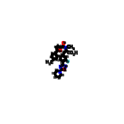 Cc1ccc(-c2ccc(C(=O)N(C)C(Cc3ccc(-c4noc(N5CCCCC5)n4)c(F)c3)C(=O)O)o2)cc1